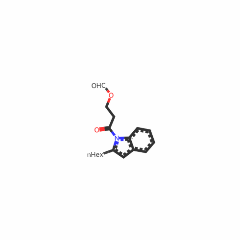 CCCCCCc1cc2ccccc2n1C(=O)CCOC=O